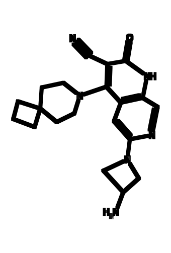 N#Cc1c(N2CCC3(CCC3)CC2)c2cc(N3CC(N)C3)ncc2[nH]c1=O